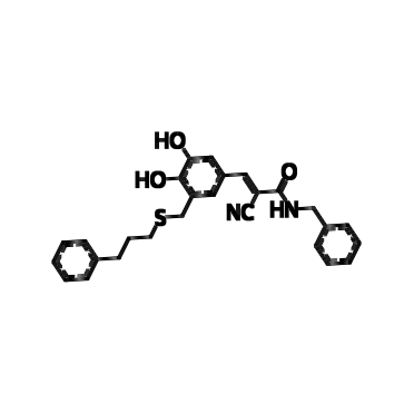 N#C/C(=C\c1cc(O)c(O)c(CSCCCc2ccccc2)c1)C(=O)NCc1ccccc1